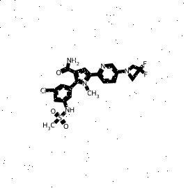 Cn1c(-c2ccc(N3CC(F)(F)C3)cn2)cc(C(N)=O)c1-c1cc(Cl)cc(NS(C)(=O)=O)c1